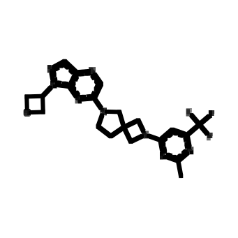 Cc1nc(N2CC3(CCN(c4cnc5cnn(C6COC6)c5n4)C3)C2)cc(C(F)(F)F)n1